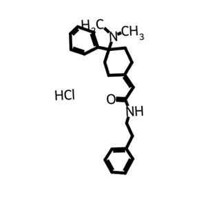 CN(C)C1(c2ccccc2)CCC(=CC(=O)NCCc2ccccc2)CC1.Cl